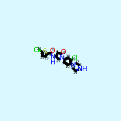 O=C(NC1CC(=O)N(c2ccc(N3CCNCC3)c(Cl)c2)C1)c1ccc(Cl)s1